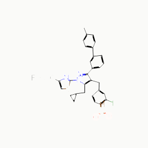 CCOC(=O)c1csc(-n2nc(-c3cccc(-c4ccc(C)cc4)c3)c(Cc3ccc([SH](=O)=O)c(F)c3)c2CC2CC2)n1